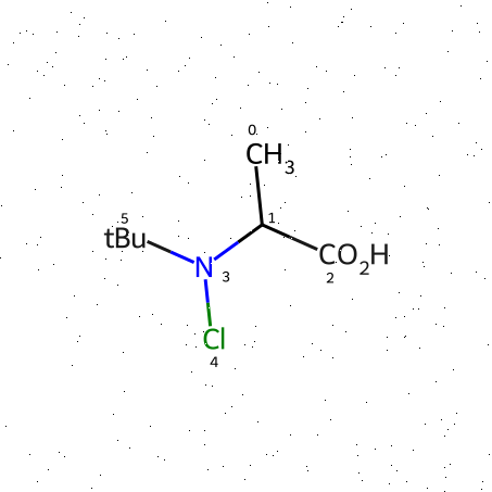 CC(C(=O)O)N(Cl)C(C)(C)C